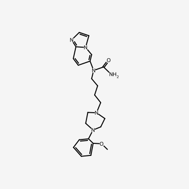 COc1ccccc1N1CCN(CCCCN(C(N)=O)c2ccc3nccn3c2)CC1